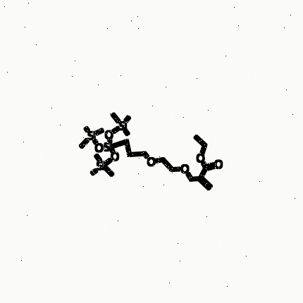 C=C(COCCOCCC[Si](O[Si](C)(C)C)(O[Si](C)(C)C)O[Si](C)(C)C)C(=O)OCC